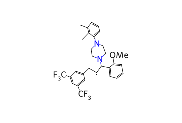 COc1ccccc1C([CH]Cc1cc(C(F)(F)F)cc(C(F)(F)F)c1)N1CCN(c2cccc(C)c2C)CC1